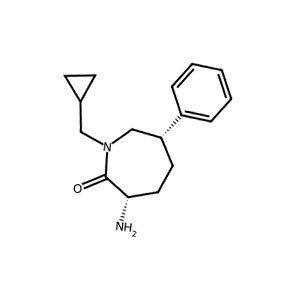 N[C@H]1CC[C@@H](c2ccccc2)CN(CC2CC2)C1=O